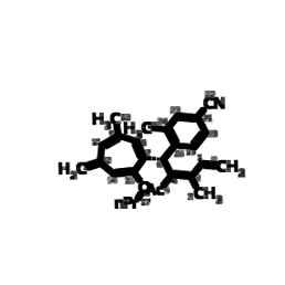 C=C/C(C)=C(/C(C)=O)[C@H](C1=CC(C)=CC(=C)C=C1OCCC)c1ccc(C#N)cc1C